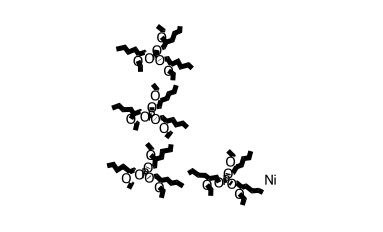 CCCCC(COP(OCC(CCCC)OCC)OCC(CCCC)OCC)OCC.CCCCC(COP(OCC(CCCC)OCC)OCC(CCCC)OCC)OCC.CCCCC(COP(OCC(CCCC)OCC)OCC(CCCC)OCC)OCC.CCCCC(COP(OCC(CCCC)OCC)OCC(CCCC)OCC)OCC.[Ni]